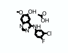 CC(=O)O.COc1cc2ncnc(Nc3ccc(F)c(Cl)c3)c2cc1O